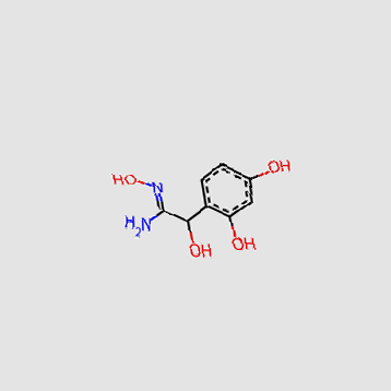 NC(=NO)C(O)c1ccc(O)cc1O